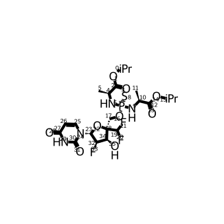 CC(C)OC(=O)[C@H](C)NP(=S)(N[C@@H](C)C(=O)OC(C)C)OC[C@@]1(C(F)F)O[C@@H](n2ccc(=O)[nH]c2=O)[C@H](F)[C@@H]1O